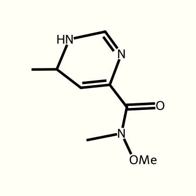 CON(C)C(=O)C1=CC(C)NC=N1